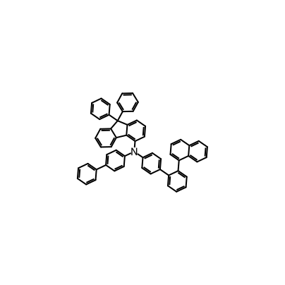 c1ccc(-c2ccc(N(c3ccc(-c4ccccc4-c4cccc5ccccc45)cc3)c3cccc4c3-c3ccccc3C4(c3ccccc3)c3ccccc3)cc2)cc1